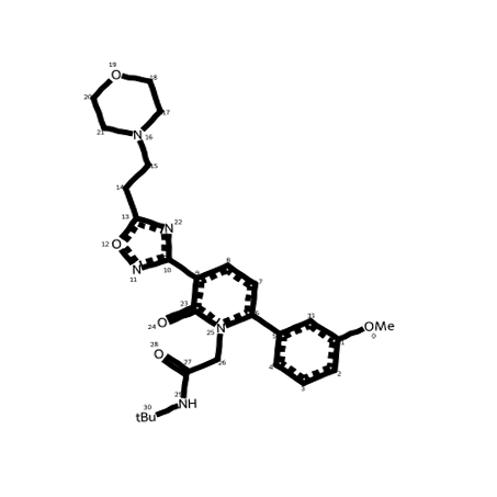 COc1cccc(-c2ccc(-c3noc(CCN4CCOCC4)n3)c(=O)n2CC(=O)NC(C)(C)C)c1